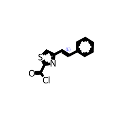 O=C(Cl)c1nc(/C=C/c2ccccc2)cs1